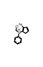 [2H]C1=C([SiH](CCl)c2ccccc2)CC=C1